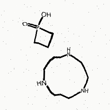 C1CNCCNCCN1.O=P1(O)CCC1